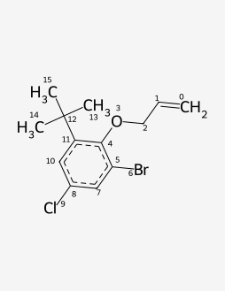 C=CCOc1c(Br)cc(Cl)cc1C(C)(C)C